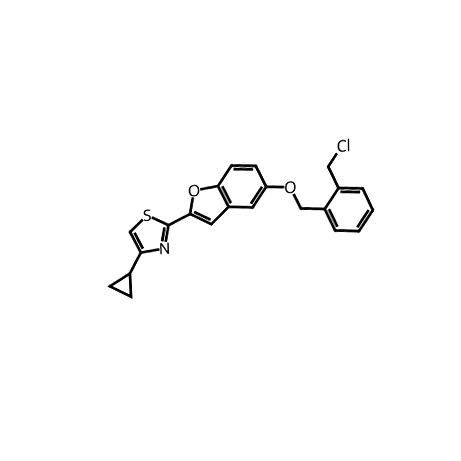 ClCc1ccccc1COc1ccc2oc(-c3nc(C4CC4)cs3)cc2c1